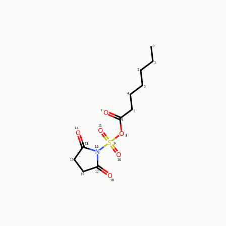 CCCCCCC(=O)OS(=O)(=O)N1C(=O)CCC1=O